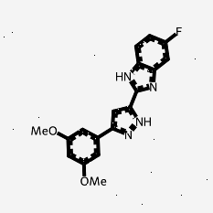 COc1cc(OC)cc(-c2cc(-c3nc4cc(F)ccc4[nH]3)[nH]n2)c1